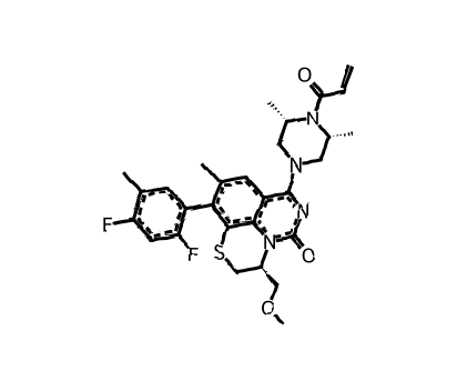 C=CC(=O)N1[C@H](C)CN(c2nc(=O)n3c4c(c(-c5cc(C)c(F)cc5F)c(C)cc24)SC[C@@H]3COC)C[C@@H]1C